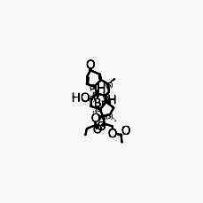 CCC(=O)O[C@]1(C(=O)COC(C)=O)[C@@H](C)C[C@H]2[C@@H]3C[C@H](C)C4=CC(=O)C=C[C@]4(C)[C@@]3(Br)[C@@H](O)C[C@@]21C